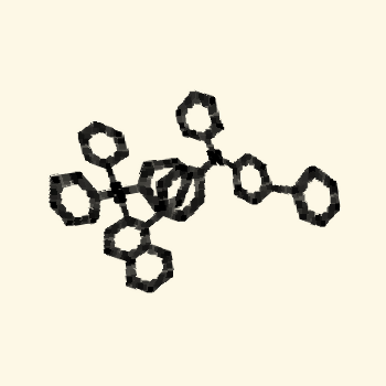 c1ccc(-c2ccc(N(c3ccccc3)c3ccc(-c4c(S(c5ccccc5)(c5ccccc5)c5ccccc5)ccc5ccccc45)cc3)cc2)cc1